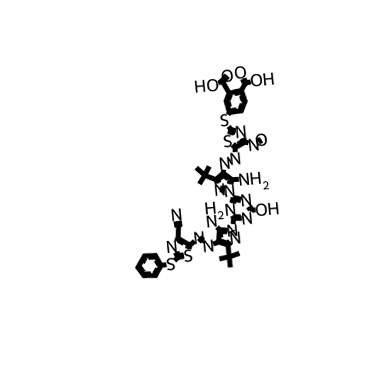 CC(C)(C)c1nn(-c2nc(O)nc(-n3nc(C(C)(C)C)c(N=Nc4sc(Sc5ccc(C(=O)O)c(C(=O)O)c5)nc4N=O)c3N)n2)c(N)c1N=Nc1sc(Sc2ccccc2)nc1C#N